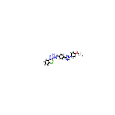 FC(F)(F)Oc1ccc(-n2cnc(-c3ccc(/C=N/NC(=S)Nc4ccccc4Cl)cc3)n2)cc1